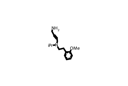 COc1ccccc1CCN(CC#CCN)C(C)C